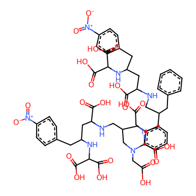 O=C(O)CN(CC(CNC(CC(Cc1ccc([N+](=O)[O-])cc1)NC(C(=O)O)C(=O)O)C(=O)O)Cc1ccccc1)C(C(=O)O)N(CC(=O)O)CC(CNC(CC(Cc1ccc([N+](=O)[O-])cc1)NC(C(=O)O)C(=O)O)C(=O)O)Cc1ccccc1